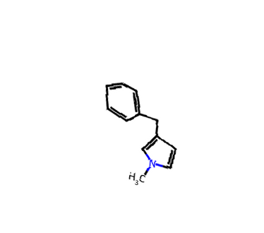 Cn1ccc(Cc2ccccc2)c1